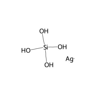 O[Si](O)(O)O.[Ag]